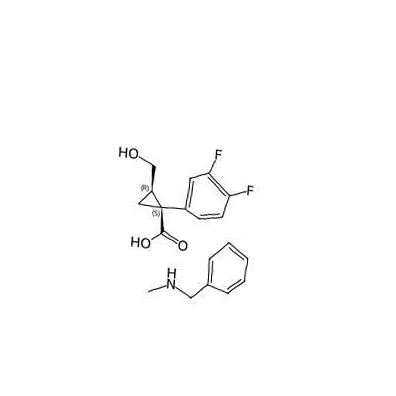 CNCc1ccccc1.O=C(O)[C@@]1(c2ccc(F)c(F)c2)C[C@H]1CO